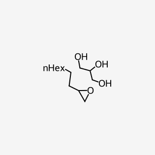 CCCCCCCCC1CO1.OCC(O)CO